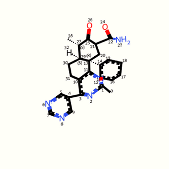 Cc1nc(-c2cncnc2)c2c(n1)[C@]1(c3ccccc3)CC(C(N)=O)C(=O)[C@@H](C)[C@@H]1CC2